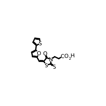 O=C(O)CCN1C(=O)/C(=C\c2ccc(-c3cccs3)o2)SC1=S